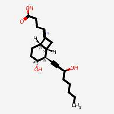 CCCCCC(O)C#C[C@@H]1[C@H]2C/C(=C/CCC(=O)O)[C@H]2CC[C@H]1O